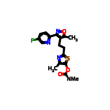 CNC(=O)Oc1sc(CCc2c(-c3ccc(F)cn3)noc2C)nc1C